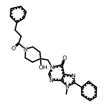 Cn1c(-c2ccccc2)nc2c(=O)n(CC3(O)CCN(C(=O)CCc4ccccc4)CC3)cnc21